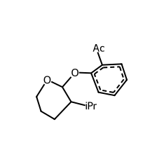 CC(=O)c1ccccc1OC1OCCCC1C(C)C